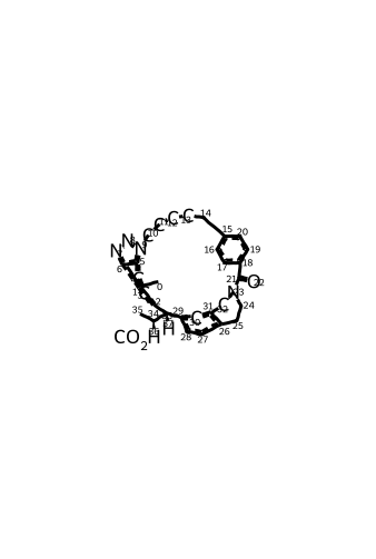 Cc1c2ccc3c1nnn3CCCCCc1ccc(cc1)C(=O)N1CCc3ccc(cc3C1)[C@@H]2[C@H](C)C(=O)O